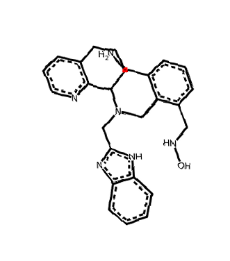 NCc1cccc(CNO)c1CN(Cc1nc2ccccc2[nH]1)C1CCCc2cccnc21